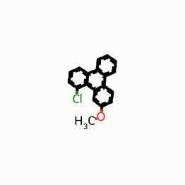 COc1ccc2c3ccccc3c3cccc(Cl)c3c2c1